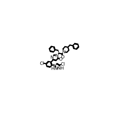 O=C([C@H](Cc1ccccc1)n1cnc(-c2cc(Cl)ccc2N2C=C(Cl)NN2)cc1=O)N1CCC(Cc2ccccc2)CC1